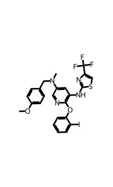 COc1ccc(CN(C)c2cnc(Oc3ccccc3I)c(Nc3nc(C(F)(F)F)cs3)c2)cc1